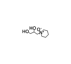 [O-][N+]1(CC(O)CO)CCCCC1